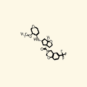 CO[C@H]1COCC[C@H]1N[C@@H]1C[C@H]2OCC[C@@]2(C(=O)N2COc3ccc(C(F)(F)F)cc3C2)C1